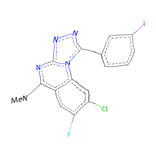 CNc1nc2nnc(-c3cccc(I)c3)n2c2cc(Cl)c(F)cc12